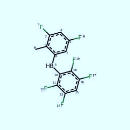 Cc1c(F)cc(F)cc1Bc1c(F)c(F)cc(F)c1F